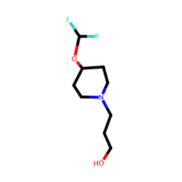 OCCCN1CCC(OC(F)F)CC1